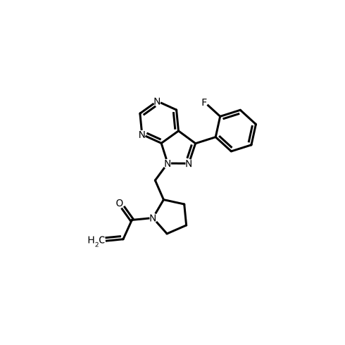 C=CC(=O)N1CCCC1Cn1nc(-c2ccccc2F)c2cncnc21